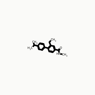 CCc1cc(C(=O)NC)ccc1-c1ccc(C(C)C)cc1